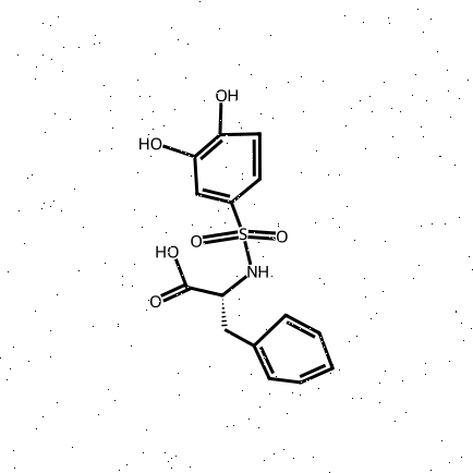 O=C(O)[C@@H](Cc1ccccc1)NS(=O)(=O)c1ccc(O)c(O)c1